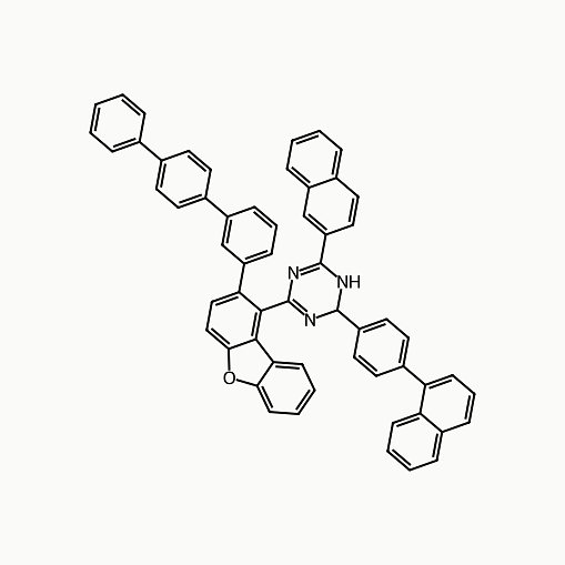 c1ccc(-c2ccc(-c3cccc(-c4ccc5oc6ccccc6c5c4C4=NC(c5ccc(-c6cccc7ccccc67)cc5)NC(c5ccc6ccccc6c5)=N4)c3)cc2)cc1